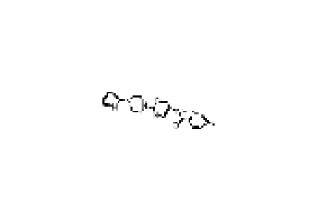 Cc1ccc(C(=O)Nc2cnc(N3CCN(c4ccccn4)CC3)nc2)nc1